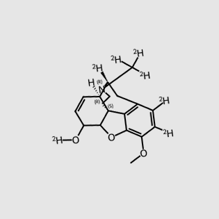 [2H]OC1C=C[C@@H]2[C@@]34CCN(C([2H])([2H])[2H])[C@]2([2H])Cc2c([2H])c([2H])c(OC)c(c23)OC14